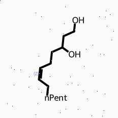 CCCCCC/C=C\CCC(O)CCO